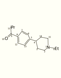 CCN1CCC(c2ccc(C(=O)C(C)C)cc2)CC1